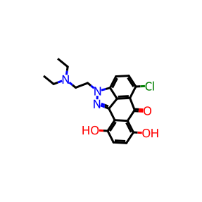 CCN(CC)CCn1nc2c3c(c(Cl)ccc31)C(=O)c1c(O)ccc(O)c1-2